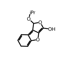 CC(C)OC1OC(O)=c2oc3c(c21)C=CCC=3